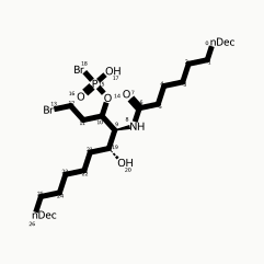 CCCCCCCCCCCCCCCC(=O)N[C@H](C(CCBr)OP(=O)(O)Br)[C@H](O)CCCCCCCCCCCCCCC